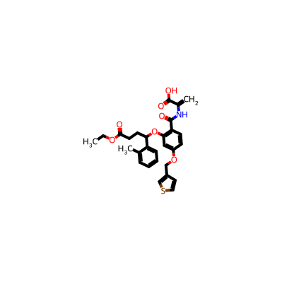 C=C(NC(=O)c1ccc(OCc2ccsc2)cc1OC(CCC(=O)OCC)c1ccccc1C)C(=O)O